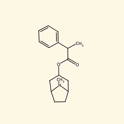 CC(C(=O)OC1CC2CCC(C1)N2C)c1ccccc1